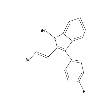 CC(=O)/C=C/c1c(-c2ccc(F)cc2)c2ccccc2n1C(C)C